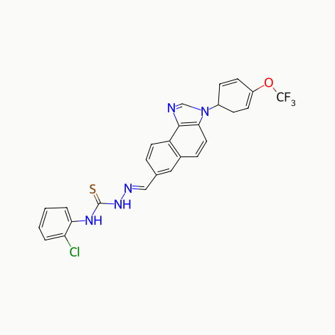 FC(F)(F)OC1=CCC(n2cnc3c4ccc(/C=N/NC(=S)Nc5ccccc5Cl)cc4ccc32)C=C1